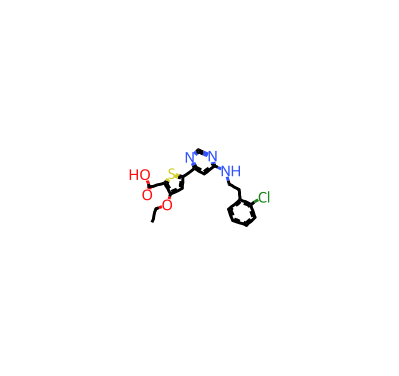 CCOc1cc(-c2cc(NCCc3ccccc3Cl)ncn2)sc1C(=O)O